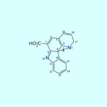 O=C(O)C1=CC2=C3N(C=CC34C1=Nc1ccccc14)CC=C2